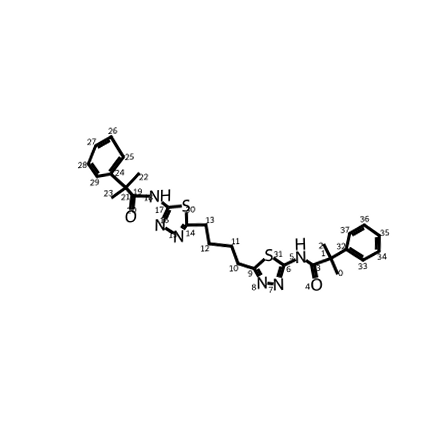 CC(C)(C(=O)Nc1nnc(CCCCc2nnc(NC(=O)C(C)(C)c3ccccc3)s2)s1)c1ccccc1